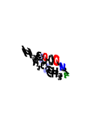 C/C=C\C(=C/C)C1=C(C)C(=C/C)/C(=C\C)OC1c1ccc(OCCN2CC(CF)C2)cc1